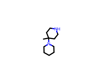 CC1(N2CCCCC2)[CH]CNCC1